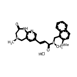 COc1ccc2ccccc2c1CN(C)C(=O)/C=C/c1cnc2c(c1)CN(C)CC(=O)N2.Cl